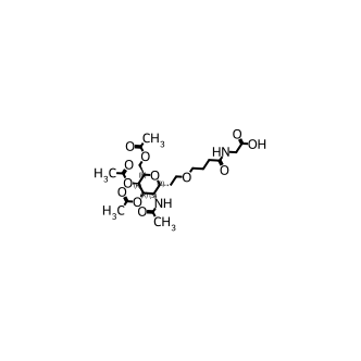 CC(=O)N[C@@H]1[C@@H](OC(C)=O)[C@@H](OC(C)=O)[C@@H](COC(C)=O)O[C@@H]1CCOCCCC(=O)NCC(=O)O